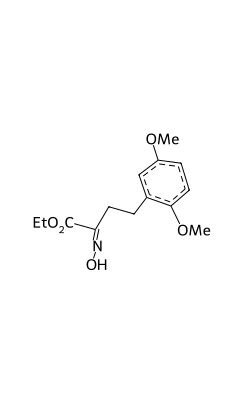 CCOC(=O)C(CCc1cc(OC)ccc1OC)=NO